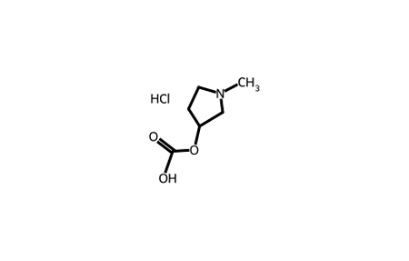 CN1CCC(OC(=O)O)C1.Cl